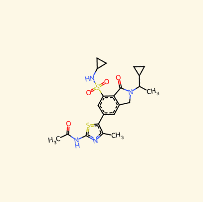 CC(=O)Nc1nc(C)c(-c2cc3c(c(S(=O)(=O)NC4CC4)c2)C(=O)N(C(C)C2CC2)C3)s1